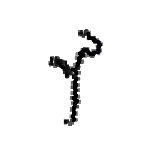 CCCCC/C=C\C/C=C\C/C=C\C/C=C\CCCCO[C@@H](COCCCCCCCCCCCCCCCC)COP(=O)([O-])OCC[N+](C)(C)C